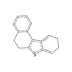 C1=c2sc3c(c2=CCC1)-c1ccccc1CC3